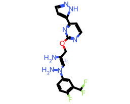 N/C(=C\N(N)c1ccc(F)c(C(F)F)c1)COc1nccc(-c2ccn[nH]2)n1